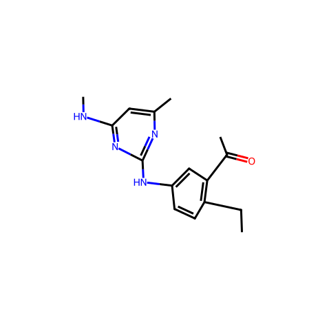 CCc1ccc(Nc2nc(C)cc(NC)n2)cc1C(C)=O